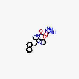 CCc1c(NC(=O)C=O)c2c(OCc3nnn[nH]3)cccn2c1Cc1cccc2ccccc12